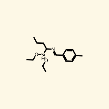 CCCC(N=Cc1ccc(C)cc1)[SiH](OCC)OCC